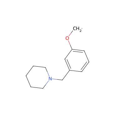 [CH2]Oc1cccc(CN2CCCCC2)c1